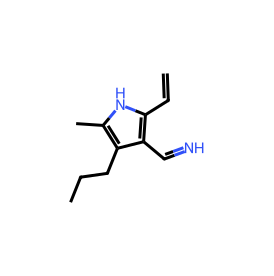 C=Cc1[nH]c(C)c(CCC)c1C=N